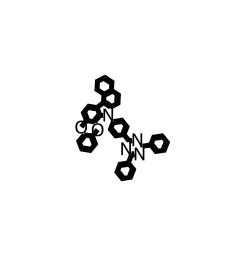 C1=Cc2ccc3c(c2CC1)c1ccc2c(c1n3-c1ccc(-c3nc(-c4ccccc4)nc(-c4ccccc4)n3)cc1)Oc1ccccc1O2